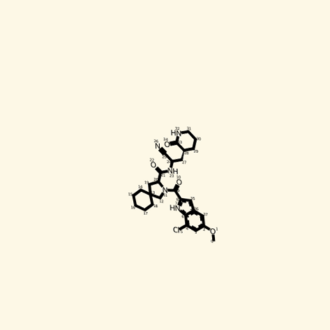 COc1cc(Cl)c2[nH]c(C(=O)N3CC4(CCCCC4)CC3C(=O)NC(C#N)C[C@@H]3CCCNC3=O)cc2c1